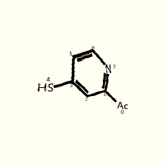 CC(=O)c1cc(S)ccn1